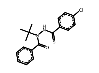 CC(C)(C)N(NC(=S)c1ccc(Cl)cc1)C(=O)c1ccccc1